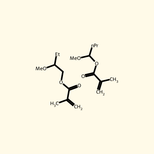 C=C(C)C(=O)OC(CCC)OC.C=C(C)C(=O)OCC(CC)OC